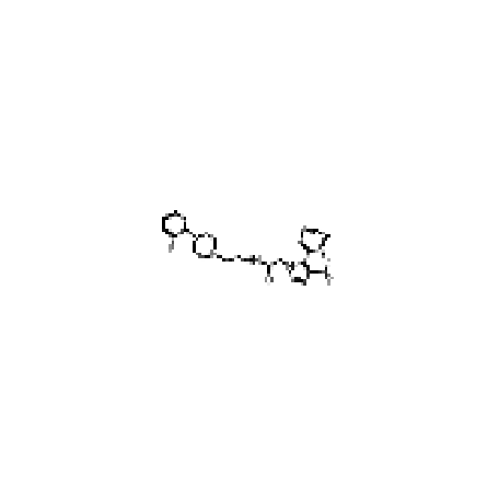 O=C(Cn1ncc2c(=O)oc3ccccc3c21)NCCCN1CCN(c2ccccc2F)CC1